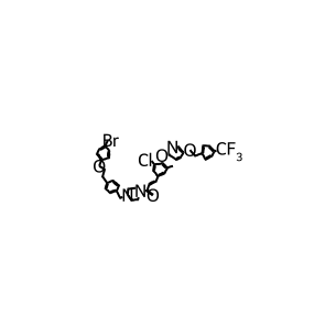 Cc1cc(C=CC(=O)N2CCN(Cc3ccc(CCOc4ccc(Br)cc4)cc3)CC2)cc(Cl)c1Oc1ccc(OCc2ccc(C(F)(F)F)cc2)cn1